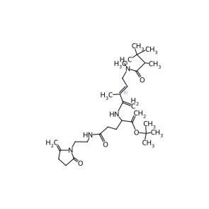 C=C(NC(CCC(=O)NCCN1C(=C)CCC1=O)C(=C)OC(C)(C)C)/C(C)=C/CN(C)C(=O)C(C)C(C)(C)C